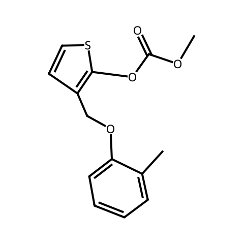 COC(=O)Oc1sccc1COc1ccccc1C